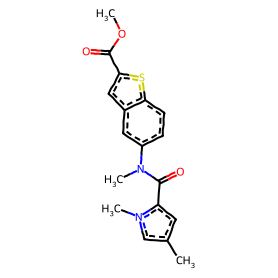 COC(=O)c1cc2cc(N(C)C(=O)c3cc(C)cn3C)ccc2s1